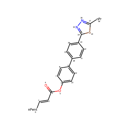 CCCCC/C=C/C(=O)Oc1ccc(-c2ccc(-c3nnc(CCC)s3)cc2)cc1